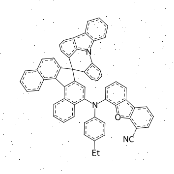 CCc1ccc(N(c2cc3c(c4ccccc24)-c2c(ccc4ccccc24)C32c3ccccc3-n3c4ccccc4c4cccc2c43)c2cccc3c2oc2c(C#N)cccc23)cc1